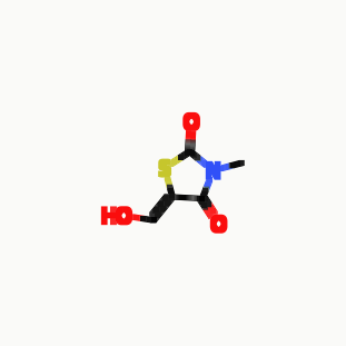 CN1C(=O)SC(=CO)C1=O